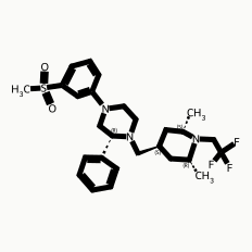 C[C@@H]1C[C@@H](CN2CCN(c3cccc(S(C)(=O)=O)c3)C[C@H]2c2ccccc2)C[C@H](C)N1CC(F)(F)F